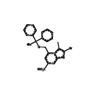 CCOC(=O)c1cc(CO[Si](c2ccccc2)(c2ccccc2)C(C)(C)C)c2c(C)c(Br)sc2c1